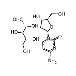 Nc1ccn([C@H]2C[C@H](O)[C@@H](CO)O2)c(=O)n1.O=C[C@H](O)[C@H](O)[C@H](O)CO